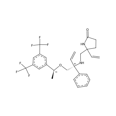 C=CC1(CN[C@@](C=C)(CO[C@@H](C)c2cc(C(F)(F)F)cc(C(F)(F)F)c2)c2ccccc2)CCC(=O)N1